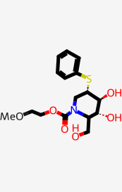 COCCOC(=O)N1C[C@H](Sc2ccccc2)[C@@H](O)[C@H](O)C1CO